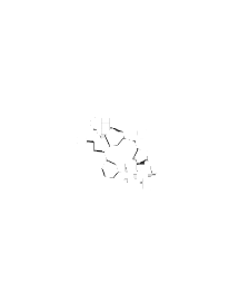 Cn1c(=O)cc(-c2cccc([Si](C)(C)C)c2)c2cc(C(=O)c3ccc(Cl)s3)ccc21